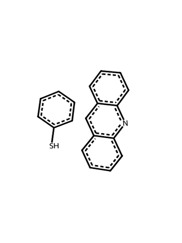 Sc1ccccc1.c1ccc2nc3ccccc3cc2c1